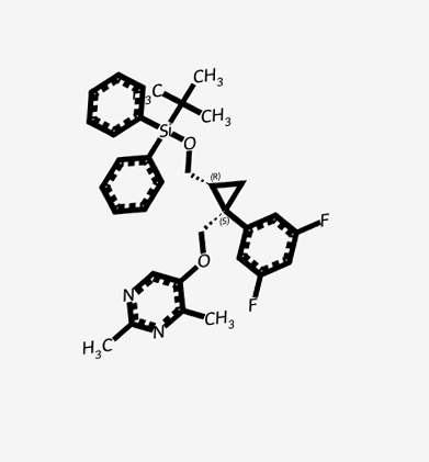 Cc1ncc(OC[C@@]2(c3cc(F)cc(F)c3)C[C@H]2CO[Si](c2ccccc2)(c2ccccc2)C(C)(C)C)c(C)n1